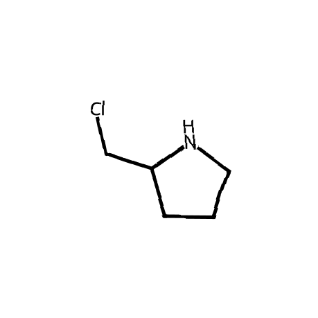 ClCC1CCCN1